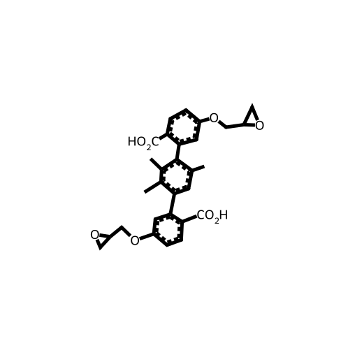 Cc1cc(-c2cc(OCC3CO3)ccc2C(=O)O)c(C)c(C)c1-c1cc(OCC2CO2)ccc1C(=O)O